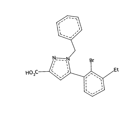 CCc1cccc(-c2cc(C(=O)O)nn2Cc2ccccc2)c1Br